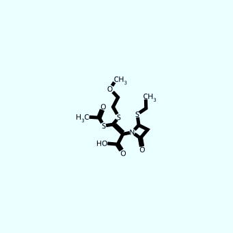 CCSC1CC(=O)N1/C(C(=O)O)=C(\SCCOC)SC(C)=O